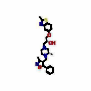 Cc1nc2cc(OC[C@H](O)CN3CCN(Cc4c(C)noc4-c4ccccc4)[C@@H](C)C3)ccc2s1